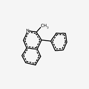 Cc1ncc2ccccc2c1-c1ccccc1